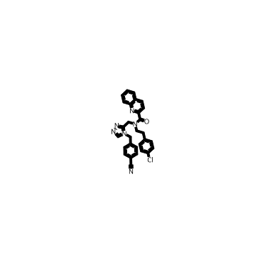 N#Cc1ccc(Cn2cnnc2CN(CCc2ccc(Cl)cc2)C(=O)c2ccc3ccccc3n2)cc1